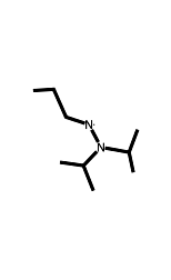 CCC[N]N(C(C)C)C(C)C